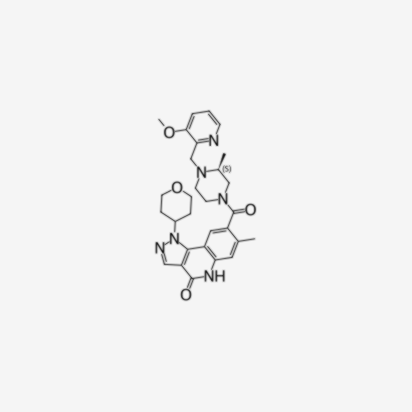 COc1cccnc1CN1CCN(C(=O)c2cc3c(cc2C)[nH]c(=O)c2cnn(C4CCOCC4)c23)C[C@@H]1C